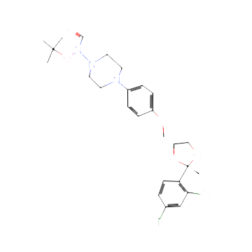 CC(C)(C)ON(C=O)N1CCN(c2ccc(OC[C@@H]3CO[C@](C)(c4ccc(Cl)cc4Cl)O3)cc2)CC1